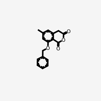 Cc1cc2c(c(OCc3ccccc3)c1)C(=O)OC(=O)C2